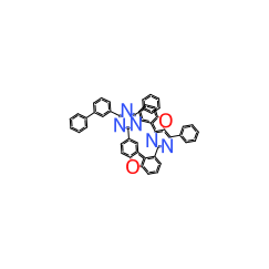 c1ccc(-c2cccc(-c3nc(-c4ccccc4)nc(-c4ccc5oc6cccc(-c7nc(-c8ccccc8)c8oc9ccccc9c8n7)c6c5c4)n3)c2)cc1